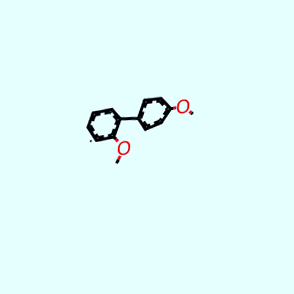 COc1ccc(-c2ccc[c]c2OC)cc1